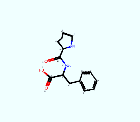 O=C(O)C(Cc1ccccc1)NC(=O)C1CCCN1